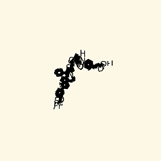 O=C(O)/C=C/c1ccc(NC(=O)C2(NC(=O)c3cc4c(s3)c(C3CCCCC3)c3n4CCCc4c-3ccc3nc(-c5cccc(OC(F)(F)F)c5)ccc43)CCC2)cc1